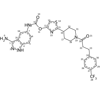 Nc1n[nH]c2ccc(NC(=O)Oc3csc(C4CCN(C(=O)CCc5ccc(C(F)(F)F)cc5)CC4)n3)cc12